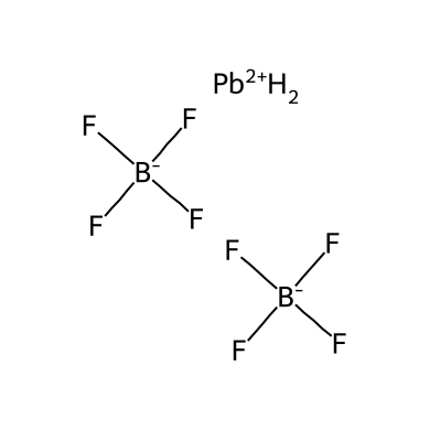 F[B-](F)(F)F.F[B-](F)(F)F.[PbH2+2]